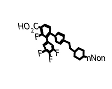 CCCCCCCCCC1CCC(CCc2ccc(-c3ccc(C(=O)O)c(F)c3-c3cc(F)c(F)c(F)c3)cc2)CC1